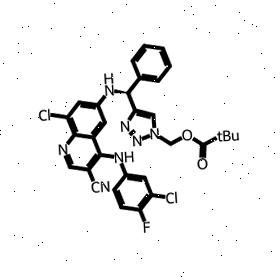 CC(C)(C)C(=O)OCn1cc([C@@H](Nc2cc(Cl)c3ncc(C#N)c(Nc4ccc(F)c(Cl)c4)c3c2)c2ccccc2)nn1